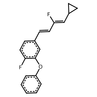 FC(C=Cc1ccc(F)c(Oc2ccccc2)c1)=CC1CC1